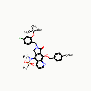 COc1ccc(COc2c3c(c(N(C)S(C)(=O)=O)c4cccnc24)CN(Cc2ccc(F)cc2O[Si](C)(C)C(C)(C)C)C3=O)cc1